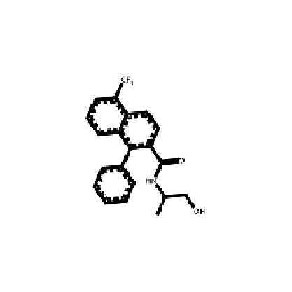 CC(CO)NC(=O)c1ccc2c(C(F)(F)F)cccc2c1-c1ccccc1